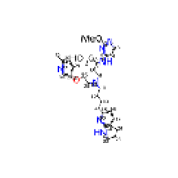 COc1nccc(N[C@@H](CCN(CCCCc2ccc3c(n2)NCCC3)CCOc2ccc(C)nc2)C(=O)O)n1